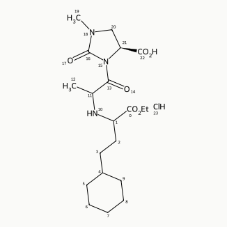 CCOC(=O)C(CCC1CCCCC1)NC(C)C(=O)N1C(=O)N(C)C[C@H]1C(=O)O.Cl